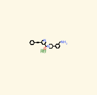 Cl.Cl.NCc1cccc(C2CCN(C(=O)c3cncc(C#Cc4ccccc4)c3)CC2)c1